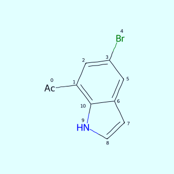 CC(=O)c1cc(Br)cc2cc[nH]c12